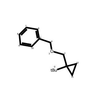 CC(C)(C)C1(COCc2ccccc2)CC1